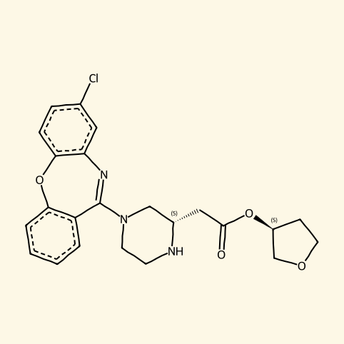 O=C(C[C@H]1CN(C2=Nc3cc(Cl)ccc3Oc3ccccc32)CCN1)O[C@H]1CCOC1